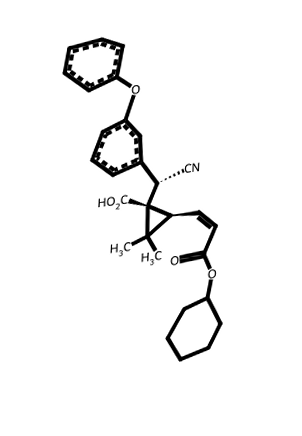 CC1(C)[C@H](/C=C\C(=O)OC2CCCCC2)[C@@]1(C(=O)O)[C@@H](C#N)c1cccc(Oc2ccccc2)c1